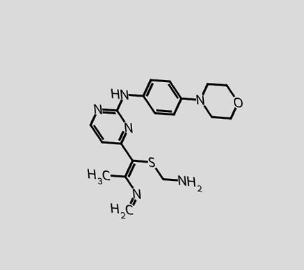 C=N/C(C)=C(\SCN)c1ccnc(Nc2ccc(N3CCOCC3)cc2)n1